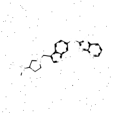 CC(=O)N(C)C1CCN(Cc2coc3cc(Oc4nc5ncccc5s4)ccc23)C1